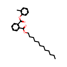 CCCCCCCCCCCCOC(=O)c1ccccc1C(=O)Oc1ccccc1C